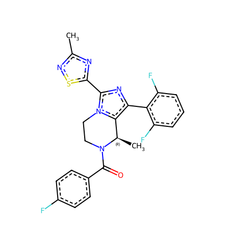 Cc1nsc(-c2nc(-c3c(F)cccc3F)c3n2CCN(C(=O)c2ccc(F)cc2)[C@@H]3C)n1